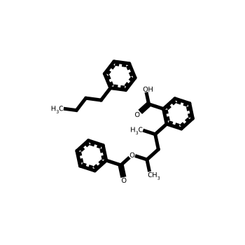 CC(CC(C)c1ccccc1C(=O)O)OC(=O)c1ccccc1.CCCCc1ccccc1